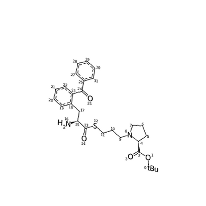 CC(C)(C)OC(=O)[C@@H]1CCCN1CCCSC(=O)[C@@H](N)Cc1ccccc1C(=O)c1ccccc1